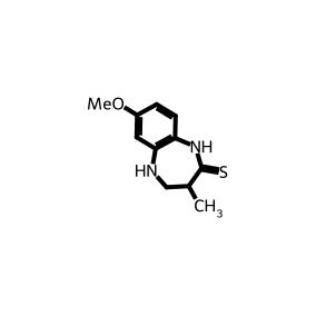 COc1ccc2c(c1)NCC(C)C(=S)N2